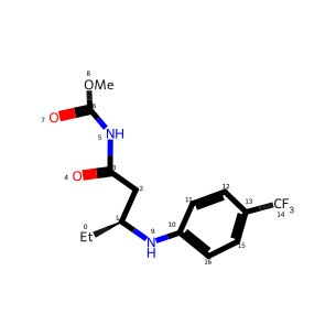 CC[C@@H](CC(=O)NC(=O)OC)Nc1ccc(C(F)(F)F)cc1